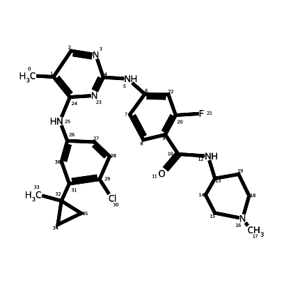 Cc1cnc(Nc2ccc(C(=O)NC3CCN(C)CC3)c(F)c2)nc1Nc1ccc(Cl)c(C2(C)CC2)c1